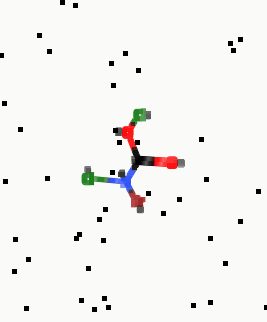 O=C(OCl)N(Cl)Br